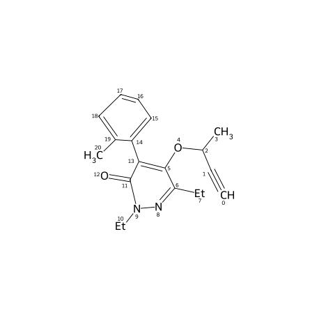 C#CC(C)Oc1c(CC)nn(CC)c(=O)c1-c1ccccc1C